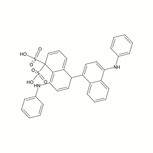 O=S(=O)(O)C1(S(=O)(=O)O)C=CC=C2C1=C(Nc1ccccc1)C=CC2c1ccc(Nc2ccccc2)c2ccccc12